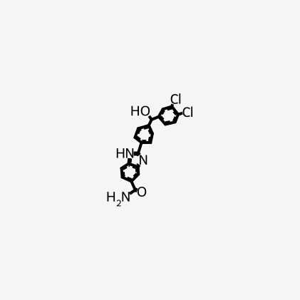 NC(=O)c1ccc2[nH]c(-c3ccc(C(O)c4ccc(Cl)c(Cl)c4)cc3)nc2c1